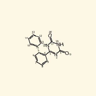 O=c1nc(-c2ccccc2)n(-c2ccccc2)c(=O)[nH]1